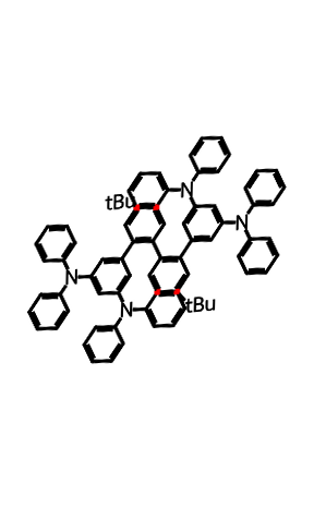 CC(C)(C)c1ccc(-c2ccc(C(C)(C)C)cc2-c2cc(N(c3ccccc3)c3ccccc3)cc(N(c3ccccc3)c3ccccc3)c2)c(-c2cc(N(c3ccccc3)c3ccccc3)cc(N(c3ccccc3)c3ccccc3)c2)c1